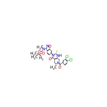 C[C@@H]1Cc2c([nH]c(=S)n(-c3ccc4c(N(C)C(=O)OC(C)(C)C)noc4c3)c2=O)CN1C(=O)c1ccc(Cl)c(Cl)c1